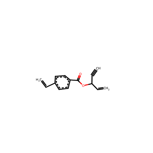 C#CC(C=C)OC(=O)c1ccc(C=C)cc1